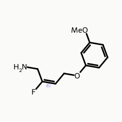 COc1cccc(OC/C=C(/F)CN)c1